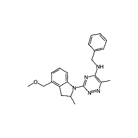 COCc1cccc2c1CC(C)N2c1nnc(C)c(NCc2ccccc2)n1